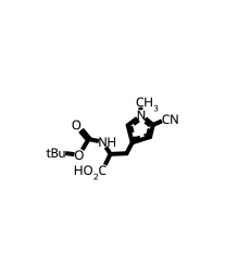 Cn1cc(CC(NC(=O)OC(C)(C)C)C(=O)O)cc1C#N